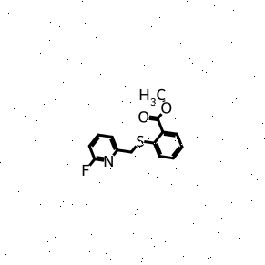 COC(=O)c1ccccc1SCc1cccc(F)n1